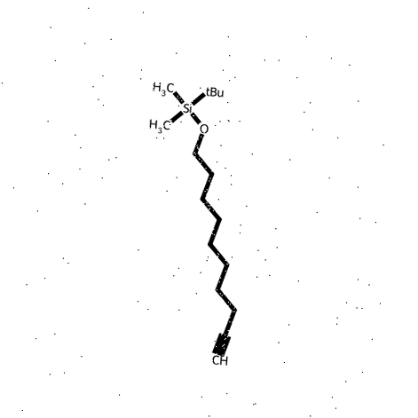 C#CCCCCCCCCO[Si](C)(C)C(C)(C)C